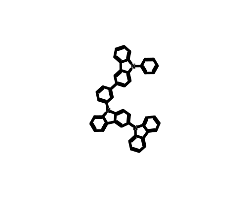 c1ccc(-n2c3ccccc3c3cc(-c4cccc(-n5c6ccccc6c6cc(-n7c8ccccc8c8ccccc87)ccc65)c4)ccc32)cc1